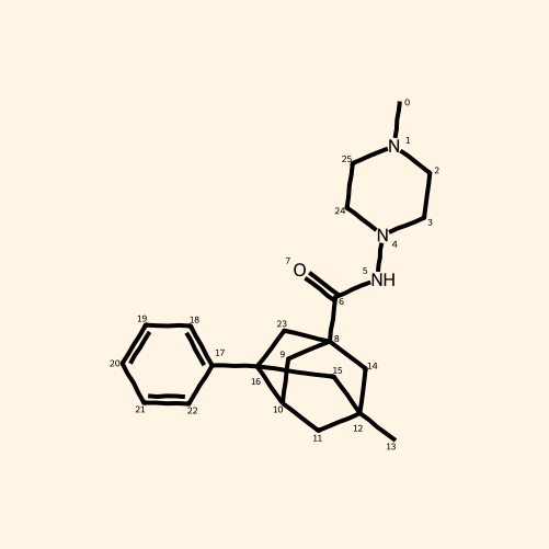 CN1CCN(NC(=O)C23CC4CC(C)(C2)CC4(c2ccccc2)C3)CC1